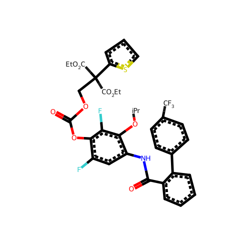 CCOC(=O)C(COC(=O)Oc1c(F)cc(NC(=O)c2ccccc2-c2ccc(C(F)(F)F)cc2)c(OC(C)C)c1F)(C(=O)OCC)c1cccs1